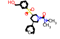 CN(C)C(=O)N1C[C@@H](c2ccccc2)C[C@@H](S(=O)(=O)c2cccc(CO)c2)C1